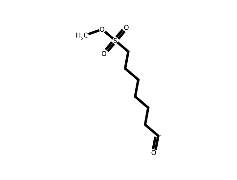 COS(=O)(=O)CCCCCC[C]=O